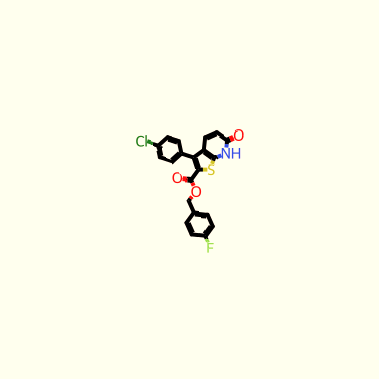 O=C(OCc1ccc(F)cc1)c1sc2[nH]c(=O)ccc2c1-c1ccc(Cl)cc1